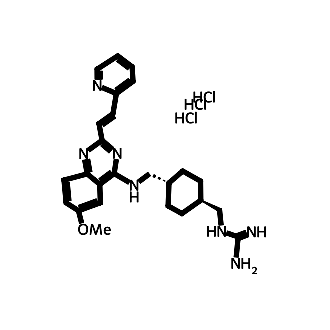 COc1ccc2nc(C=Cc3ccccn3)nc(NC[C@H]3CC[C@H](CNC(=N)N)CC3)c2c1.Cl.Cl.Cl